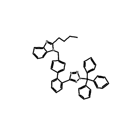 CCCCc1nc2ccccc2n1Cc1ccc(-c2ccccc2-c2nnn(C(c3ccccc3)(c3ccccc3)c3ccccc3)n2)cc1